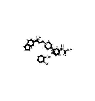 CC(=O)c1ccccc1O.CC(C)C(=O)Nc1cccc(C2CCN(CCC(O)c3ccc4c(c3)CCC4)CC2)c1